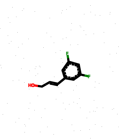 OCC=Cc1cc(F)cc(F)c1